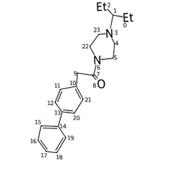 CCC(CC)N1CCN(C(=O)Cc2ccc(-c3ccccc3)cc2)CC1